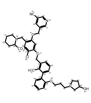 Cc1c(COc2cc(OCc3cncc(C#N)c3)c(CN3CCCCC3C(=O)O)cc2Cl)cccc1-c1ccccc1OCCCN1CCC(O)C1